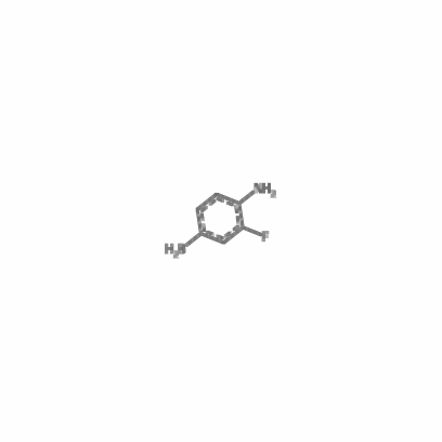 Bc1ccc(N)c(F)c1